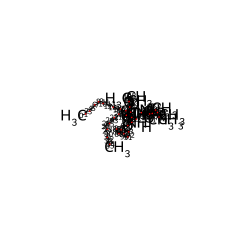 CCCCCCCC/C=C\CCCCCCCCC(CCCCCCC/C=C\CCCCCCCC)OC(=O)[C@H](CCC(=O)OC(C)(C)C)NC(=O)[C@H](CCCNC(=N)NS(=O)(=O)c1c(C)c(C)c2c(c1C)CC(C)(C)O2)NC(=O)OCC1c2ccccc2-c2ccccc21